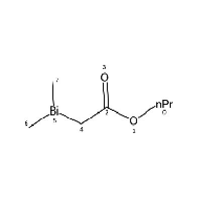 CCCOC(=O)[CH2][Bi]([CH3])[CH3]